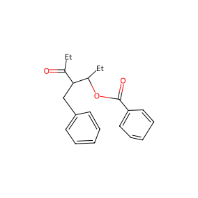 CCC(=O)C(Cc1ccccc1)C(CC)OC(=O)c1ccccc1